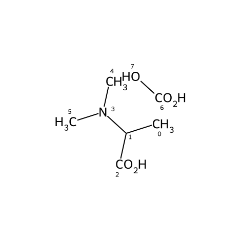 CC(C(=O)O)N(C)C.O=C(O)O